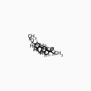 CCOC[C@H]1CC[C@@]2(C)[C@H](CC[C@@H]3[C@@H]2CC[C@]2(C)[C@@H](C(=O)CC)CC[C@@H]32)C1